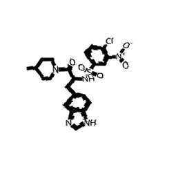 CC1CCN(C(=O)C(Cc2ccc3[nH]cnc3c2)NS(=O)(=O)c2ccc(Cl)c([N+](=O)[O-])c2)CC1